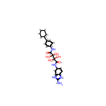 Nc1nc2ccc(NC(=O)C(O)(O)C(O)(O)C(=O)Nc3ccc(C4CCCCC4)cc3)cc2[nH]1